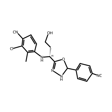 [C-]#[N+]c1ccc(C2NN=C([C@@H](CCO)Nc3ccc([N+]#[C-])c(Cl)c3C)O2)cc1